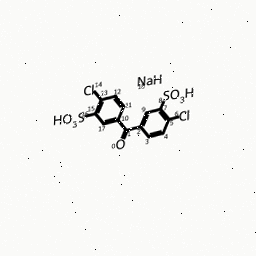 O=C(c1ccc(Cl)c(S(=O)(=O)O)c1)c1ccc(Cl)c(S(=O)(=O)O)c1.[NaH]